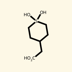 O=C(O)CC1CCS(O)(O)CC1